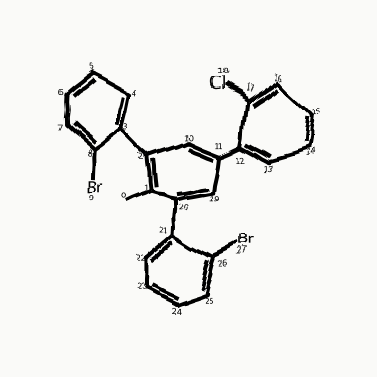 Cc1c(-c2ccccc2Br)cc(-c2ccccc2Cl)cc1-c1ccccc1Br